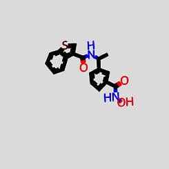 CC(NC(=O)c1csc2ccccc12)c1cccc(C(=O)NO)c1